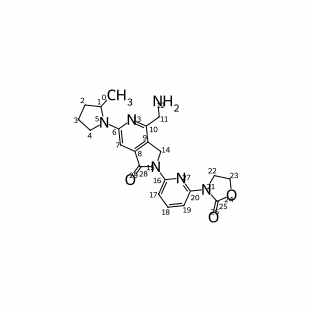 CC1CCCN1c1cc2c(c(CN)n1)CN(c1cccc(N3CCOC3=O)n1)C2=O